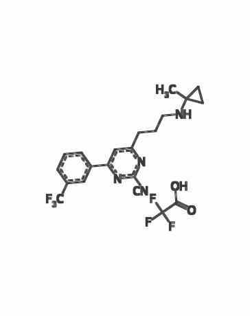 CC1(NCCCc2cc(-c3cccc(C(F)(F)F)c3)nc(C#N)n2)CC1.O=C(O)C(F)(F)F